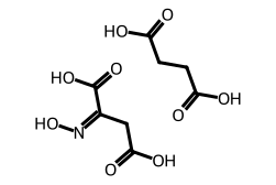 O=C(O)CC(=NO)C(=O)O.O=C(O)CCC(=O)O